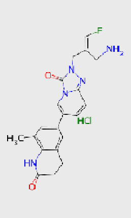 Cc1cc(-c2ccc3nn(C/C(=C/F)CN)c(=O)n3c2)cc2c1NC(=O)CC2.Cl